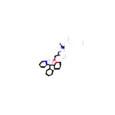 N[C@@H](CC(=O)NC(c1ccccc1)(c1ccccc1)c1ccccc1)C(=O)N[C@@H](CO)C(=O)O